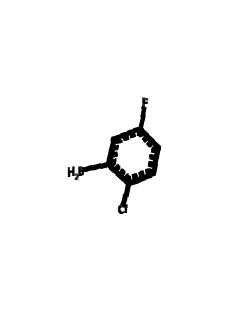 Bc1cc(F)ccc1Cl